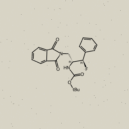 CC(C)(C)OC(=O)N[C@H](CN1C(=O)c2ccccc2C1=O)[C@H](F)c1ccccc1